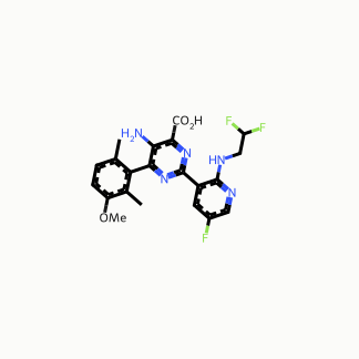 COc1ccc(C)c(-c2nc(-c3cc(F)cnc3NCC(F)F)nc(C(=O)O)c2N)c1C